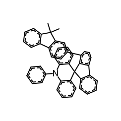 CC1(C)c2ccccc2-c2ccc(-c3cccc4c3C3(c5ccccc5-4)c4ccccc4N(c4ccccc4)c4ccccc43)cc21